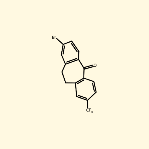 O=C1c2ccc(Br)cc2CCc2cc(C(F)(F)F)ccc21